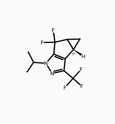 CC(C)n1nc(C(F)(F)F)c2c1C(F)(F)C1C[C@H]21